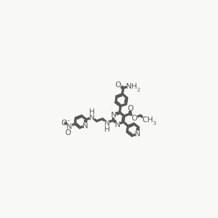 CCOC(=O)c1c(-c2ccncc2)nc(NCCNc2ccc([N+](=O)[O-])cn2)nc1-c1ccc(C(N)=O)cc1